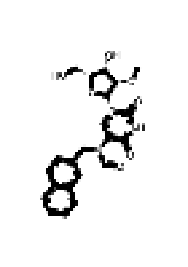 CO[C@@H]1[C@@H](O)[C@@H](CO)O[C@H]1n1cc(N(C=O)Cc2ccc3ccccc3c2)c(=O)[nH]c1=O